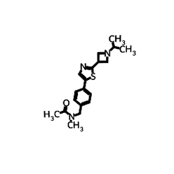 CC(=O)N(C)Cc1ccc(-c2cnc(C3CN(C(C)C)C3)s2)cc1